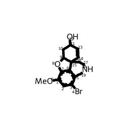 COc1cc(Br)c2c3c1OC1CC(O)C=CC31CCNC2